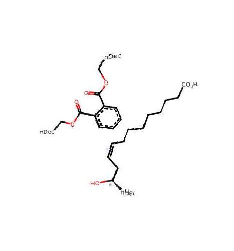 CCCCCCCCCCCOC(=O)c1ccccc1C(=O)OCCCCCCCCCCC.CCCCCC[C@@H](O)C/C=C\CCCCCCCC(=O)O